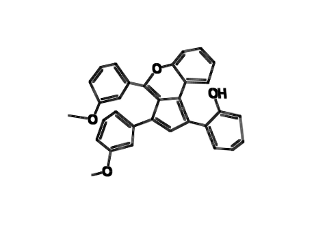 COc1cccc(-c2cc(-c3ccccc3O)c3c4ccccc4oc(-c4cccc(OC)c4)c2-3)c1